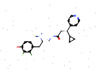 CN(C)[C@H](CNC(=O)C[C@@H](c1ccncc1)C1CC1)Cc1ccc(O)c(F)c1Cl